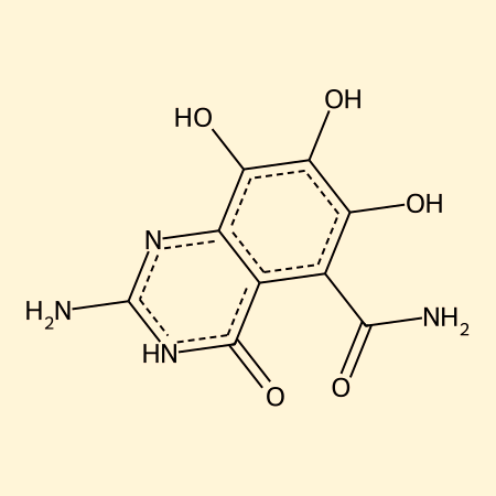 NC(=O)c1c(O)c(O)c(O)c2nc(N)[nH]c(=O)c12